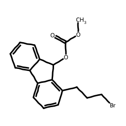 COC(=O)OC1c2ccccc2-c2cccc(CCCBr)c21